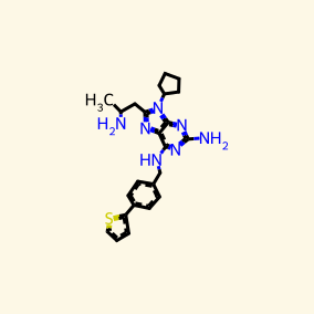 CC(N)Cc1nc2c(NCc3ccc(-c4cccs4)cc3)nc(N)nc2n1C1CCCC1